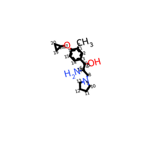 Cc1cc([C@@H](O)[C@H](N)CN2CCCC2)ccc1OC1CC1